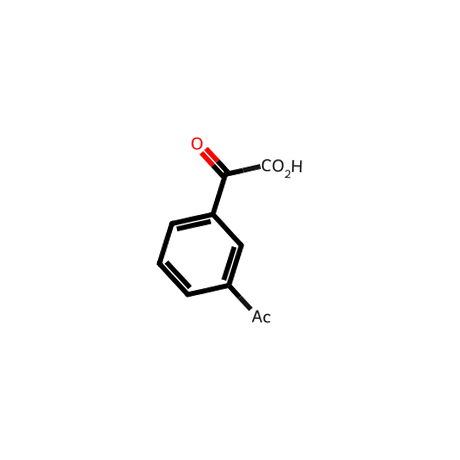 CC(=O)c1cccc(C(=O)C(=O)O)c1